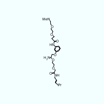 CNCCOCCOCCC(=O)Nc1cccc(OCC(N)OCCOCC(=O)NC/C=C/C(C)C)c1